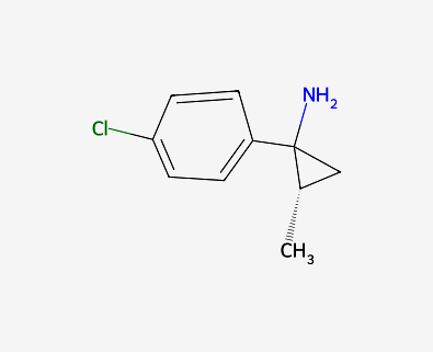 C[C@H]1CC1(N)c1ccc(Cl)cc1